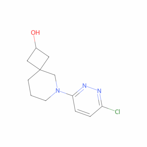 OC1CC2(CCCN(c3ccc(Cl)nn3)C2)C1